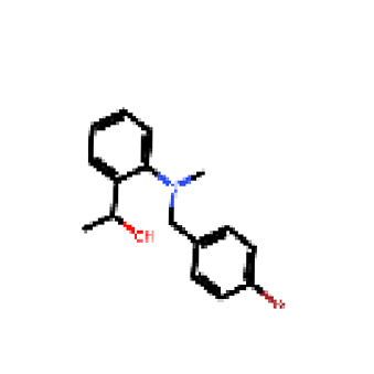 CC(O)c1ccccc1N(C)Cc1ccc(Br)cc1